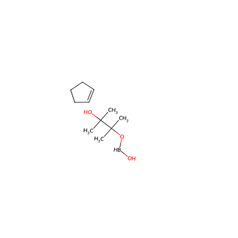 C1=CCCC1.CC(C)(O)C(C)(C)OBO